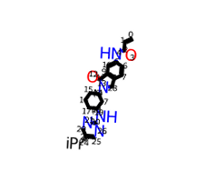 C=CC(=O)Nc1ccc2c(c1)C(=O)N([C@H]1CCC[C@@H](Nc3ncc(C(C)C)cn3)C1)C2